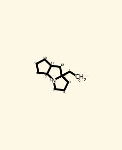 [CH2]CC12CCCN1C1CCCC1C2